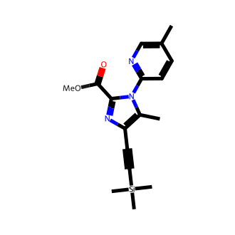 COC(=O)c1nc(C#C[Si](C)(C)C)c(C)n1-c1ccc(C)cn1